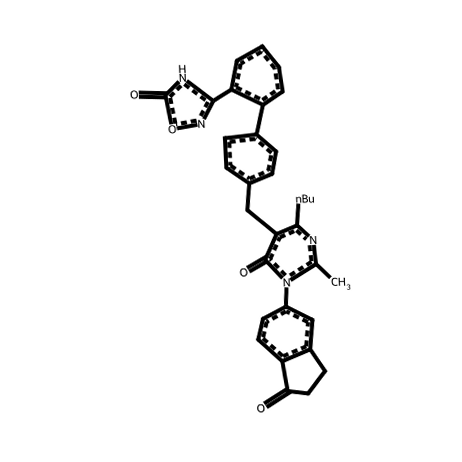 CCCCc1nc(C)n(-c2ccc3c(c2)CCC3=O)c(=O)c1Cc1ccc(-c2ccccc2-c2noc(=O)[nH]2)cc1